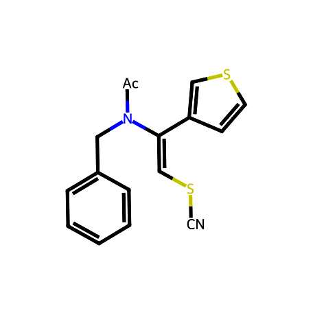 CC(=O)N(Cc1ccccc1)C(=CSC#N)c1ccsc1